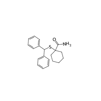 NC(=O)C1(SC(c2ccccc2)c2ccccc2)CCCCC1